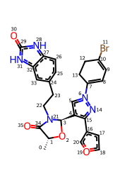 C[C@H]1O[C@H](c2cn(C3=CC=C(Br)CC3)nc2-c2ccoc2)N(CCc2ccc3[nH]c(=O)[nH]c3c2)C1=O